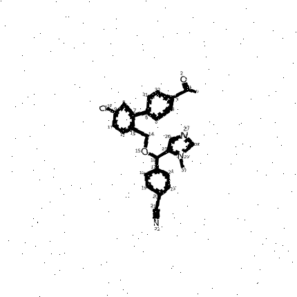 CC(=O)c1ccc(-c2cc(Cl)ccc2COC(c2ccc(C#N)cc2)c2cncn2C)cc1